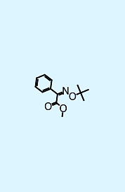 COC(=O)C(=NOC(C)(C)C)c1ccccc1